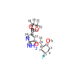 COc1ccc(F)cc1C(C)Oc1cc(B2OC(C)(C)C(C)(C)O2)cnc1N